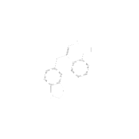 CC(=O)/C=C(/Cc1ccc2c(c1)OCO2)c1ccccc1C